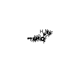 C#CCOc1cnc(C(=O)Nc2cc(F)c(F)c([C@H]3C[C@H]3O/C(N)=N\C(F)F)c2)cn1